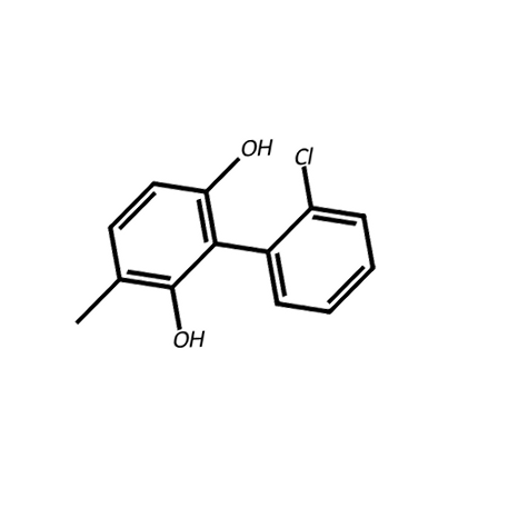 Cc1ccc(O)c(-c2ccccc2Cl)c1O